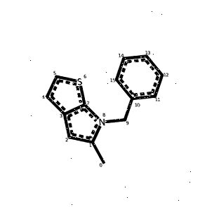 Cc1cc2ccsc2n1Cc1ccccc1